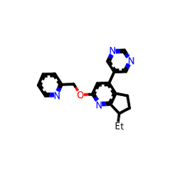 CCC1CCc2c(-c3cncnc3)cc(OCc3ccccn3)nc21